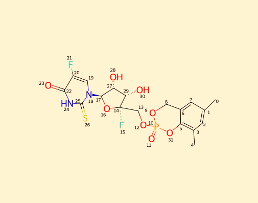 Cc1cc(C)c2c(c1)COP(=O)(OC[C@@]1(F)O[C@@H](n3cc(F)c(=O)[nH]c3=S)[C@H](O)[C@@H]1O)O2